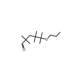 CCCOC(C)(C)C(C)(C)CC(C)(C)C=O